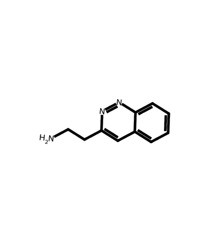 NCCc1cc2ccccc2nn1